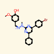 COc1cc(/C=N\N(C)c2nc(-c3ccccc3)cc(-c3ccc(Br)cc3)n2)ccc1O